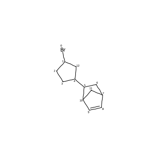 BrC1CCC(C2CC3C=CC2C3)C1